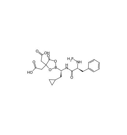 O=C(O)CC1(CC(=O)O)OB([C@H](CC2CC2)NC(=O)[C@H](Cc2ccccc2)NP)OC1=O